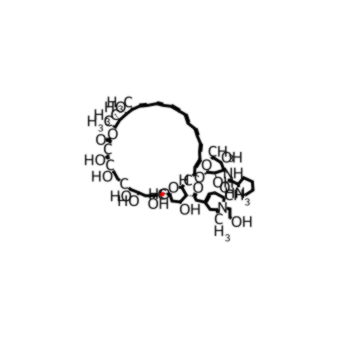 CC1CC=C(CC(=O)[C@H]2[C@@H]3C[C@@H](O[C@H]4O[C@@H](C)[C@@H](O)[C@H](NC(=O)C5CCCCN5)[C@@H]4O)/C=C/C=C/C=C/C=C/C=C/C=C/C=C/[C@H](C)[C@@H](O)[C@@H](C)[C@H](C)OC(=O)CC(O)C[C@H](O)CC[C@@H](O)[C@H](O)C[C@H](O)C[C@](O)(C[C@@H]2O)O3)CC(C)N1CCO